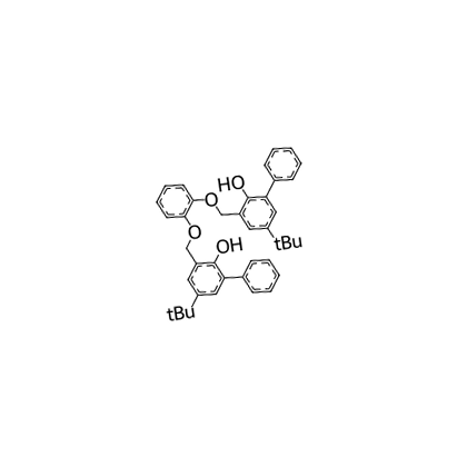 CC(C)(C)c1cc(COc2ccccc2OCc2cc(C(C)(C)C)cc(-c3ccccc3)c2O)c(O)c(-c2ccccc2)c1